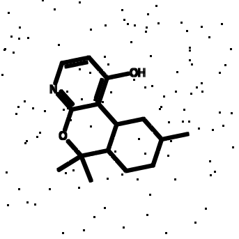 CC1CCC2C(C1)c1c(O)ccnc1OC2(C)C